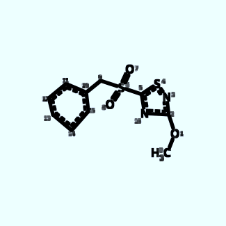 COc1nsc(S(=O)(=O)Cc2ccccc2)n1